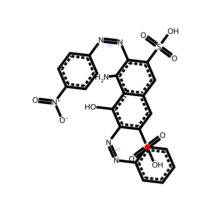 Nc1c(/N=N\c2ccc([N+](=O)[O-])cc2)c(S(=O)(=O)O)cc2cc(S(=O)(=O)O)c(/N=N\c3ccccc3)c(O)c12